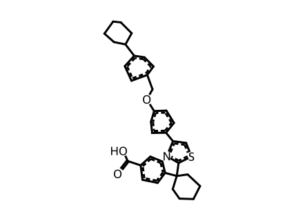 O=C(O)c1ccc(C2(c3nc(-c4ccc(OCc5ccc(C6CCCCC6)cc5)cc4)cs3)CCCCC2)cc1